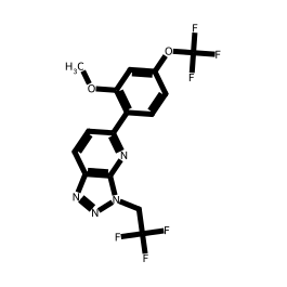 COc1cc(OC(F)(F)F)ccc1-c1ccc2nnn(CC(F)(F)F)c2n1